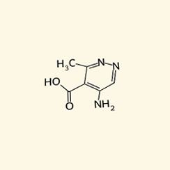 Cc1nncc(N)c1C(=O)O